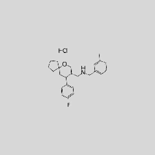 Cc1cccc(CNCC2COC3(CCCC3)CC2c2ccc(F)cc2)c1.Cl